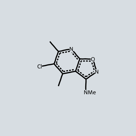 CNc1noc2nc(C)c(Cl)c(C)c12